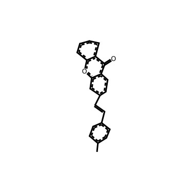 Cc1ccc(/C=C/c2ccc3c(=O)c4ccccc4oc3c2)cc1